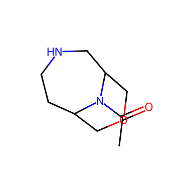 CC(=O)N1C2CCNCC1COC2